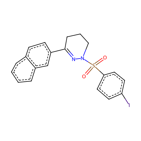 O=S(=O)(c1ccc(I)cc1)N1CCCC(c2ccc3ccccc3c2)=N1